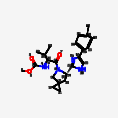 COC(=O)N[C@H](C(=O)N1CC2(CC2)C[C@H]1c1nc(-c2ccc(C)cc2)c[nH]1)C(C)C